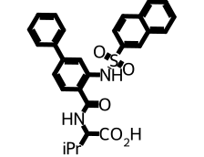 CC(C)C(NC(=O)c1ccc(-c2ccccc2)cc1NS(=O)(=O)c1ccc2ccccc2c1)C(=O)O